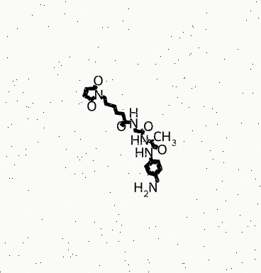 C[C@H](NC(=O)CNC(=O)CCCCCN1C(=O)C=CC1=O)C(=O)Nc1ccc(CN)cc1